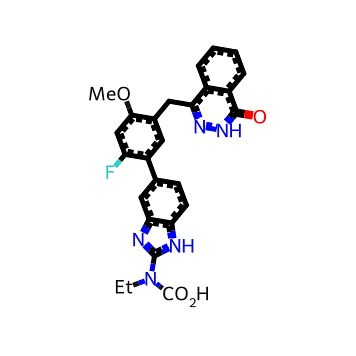 CCN(C(=O)O)c1nc2cc(-c3cc(Cc4n[nH]c(=O)c5ccccc45)c(OC)cc3F)ccc2[nH]1